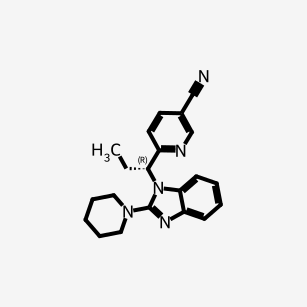 CC[C@H](c1ccc(C#N)cn1)n1c(N2CCCCC2)nc2ccccc21